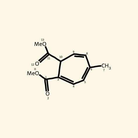 COC(=O)C1=CC=C(C)C=CC1C(=O)OC